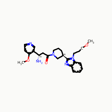 COCCCn1c([C@@H]2CCCN(C(=O)C[C@H](N)c3cnccc3OC)C2)nc2ccccc21